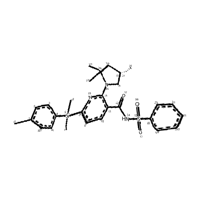 Cc1ccc([Si](C)(C)c2ccc(C(=O)NS(=O)(=O)c3ccccc3)c(N3C[C@@H](C)CC3(C)C)n2)cc1